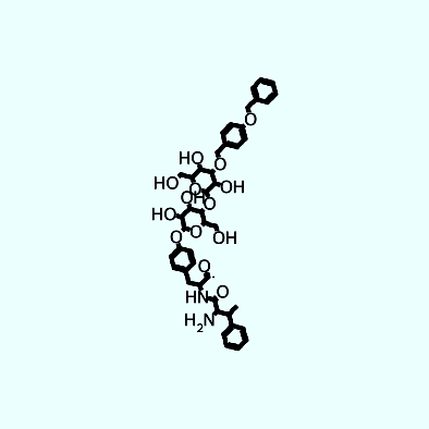 CC(c1ccccc1)C(N)C(=O)NC([C]=O)Cc1ccc(OC2OC(CO)C(OC3OC(CO)C(O)C(OCc4ccc(OCc5ccccc5)cc4)C3O)C(O)C2O)cc1